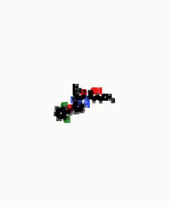 CCCC[C@H](CO)NC(=O)c1c(C)nc2c(OCc3c(Cl)cccc3Cl)cccn12